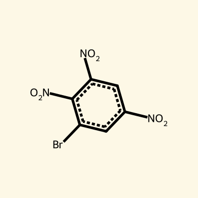 O=[N+]([O-])c1cc(Br)c([N+](=O)[O-])c([N+](=O)[O-])c1